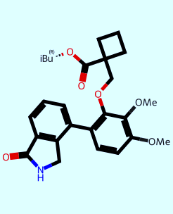 CC[C@@H](C)OC(=O)C1(COc2c(-c3cccc4c3CNC4=O)ccc(OC)c2OC)CCC1